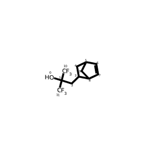 OC(CC1CC2C=CC1C2)(C(F)(F)F)C(F)(F)F